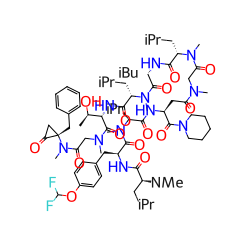 CC[C@H](C)[C@H](NC(=O)[C@H](CC(C)C)N(C)C(=O)CN(C)C(=O)C[C@H](NC(=O)[C@H](C(C)C)N(C)C(=O)[C@H](Cc1ccc(OC(F)F)cc1)NC(=O)[C@H](CC(C)C)NC)C(=O)N1CCCCC1)C(=O)N(C)[C@@H](CC(C)C)C(=O)N[C@H](C(=O)N(C)CC(=O)N(C)[C@@]1(Cc2ccccc2)CC1=O)[C@@H](C)O